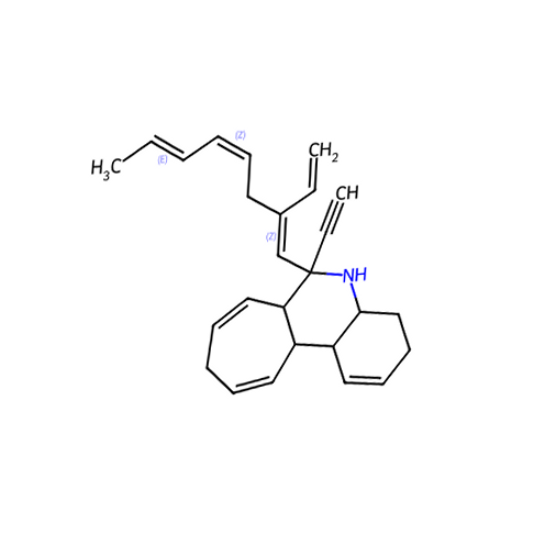 C#CC1(/C=C(\C=C)C/C=C\C=C\C)NC2CCC=CC2C2C=CCC=CC21